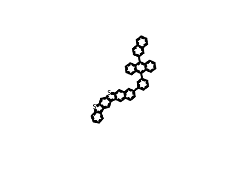 c1cc(-c2ccc3cc4c(cc3c2)sc2cc3sc5ccccc5c3cc24)cc(-c2c3ccccc3c(-c3ccc4ccccc4c3)c3ccccc23)c1